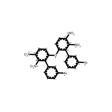 CC(=O)c1cccc(-c2c(Oc3ccc([N+](=O)[O-])c([N+](=O)[O-])c3-c3cccc(C(C)=O)c3)ccc([N+](=O)[O-])c2[N+](=O)[O-])c1